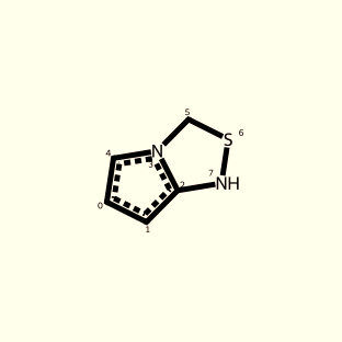 c1cc2n(c1)CSN2